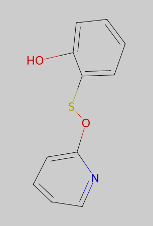 Oc1ccccc1SOc1ccccn1